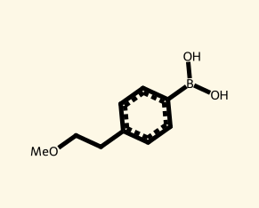 COCCc1ccc(B(O)O)cc1